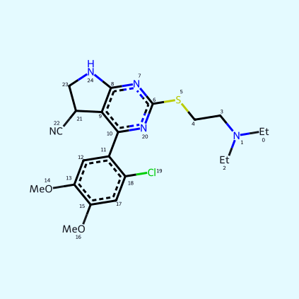 CCN(CC)CCSc1nc2c(c(-c3cc(OC)c(OC)cc3Cl)n1)C(C#N)CN2